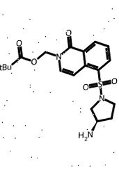 CC(C)(C)C(=O)OCn1ccc2c(S(=O)(=O)N3CC[C@@H](N)C3)cccc2c1=O